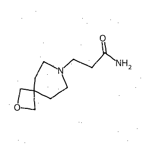 NC(=O)CCN1CCC2(CC1)COC2